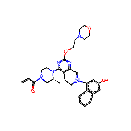 C=CC(=O)N1CCN(c2nc(OCCN3CCOCC3)nc3c2CCN(c2cc(O)cc4ccccc24)C3)[C@@H](C)C1